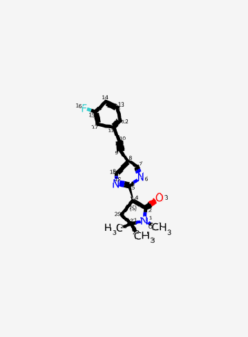 CN1C(=O)[C@H](c2ncc(C#Cc3cccc(F)c3)cn2)CC1(C)C